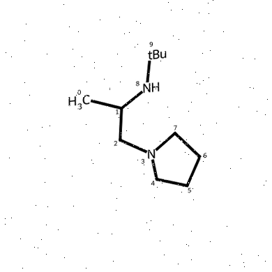 CC(CN1CCCC1)NC(C)(C)C